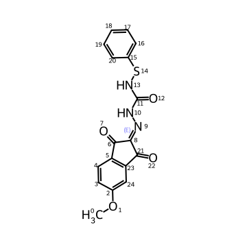 COc1ccc2c(=O)/c(=N\NC(=O)NSc3ccccc3)c(=O)c2c1